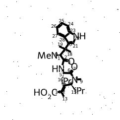 CN[C@H](C(=O)N[C@H](C(=O)N(C)[C@H](/C=C(\C)C(=O)O)C(C)C)C(C)C)C(C)(C)c1c[nH]c2ccccc12